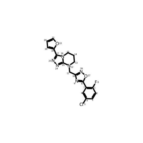 Fc1ccc(Cl)cc1-c1nc(CN2CCCn3c(-c4ccco4)nnc32)no1